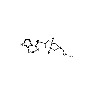 CC(C)(C)OCN1C[C@H]2C[C@H](Nc3ncnc4[nH]ccc34)C[C@H]2C1